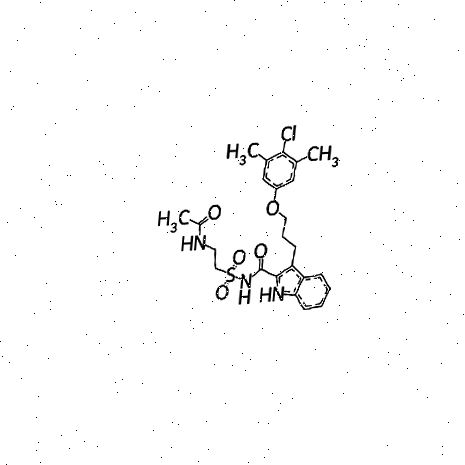 CC(=O)NCCS(=O)(=O)NC(=O)c1[nH]c2ccccc2c1CCCOc1cc(C)c(Cl)c(C)c1